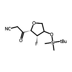 CC(C)(C)[Si](C)(C)OC1CO[C@@H](C(=O)CC#N)[C@H]1F